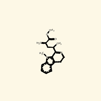 C=C(CC(C)C1=NCCc2c1n(C)c1ccccc21)C(=O)OC